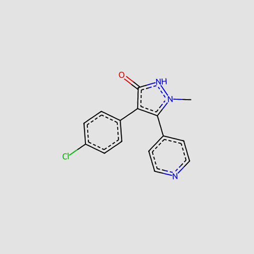 Cn1[nH]c(=O)c(-c2ccc(Cl)cc2)c1-c1ccncc1